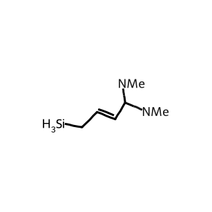 CNC(C=CC[SiH3])NC